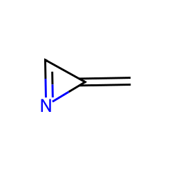 C=C1C=N1